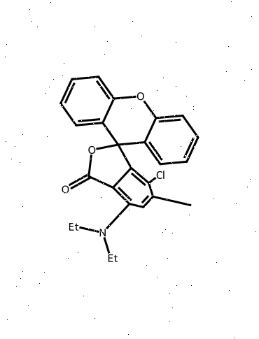 CCN(CC)c1cc(C)c(Cl)c2c1C(=O)OC21c2ccccc2Oc2ccccc21